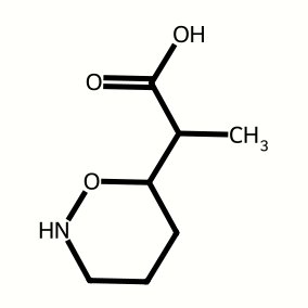 CC(C(=O)O)C1CCCNO1